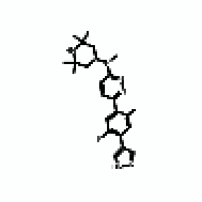 CN(c1ccc(-c2cc(F)c(-c3cn[nH]c3)cc2F)nn1)C1CC(C)(C)NC(C)(C)C1